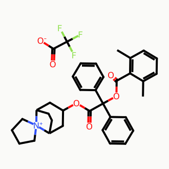 Cc1cccc(C)c1C(=O)OC(C(=O)OC1CC2CCC(C1)[N+]21CCCC1)(c1ccccc1)c1ccccc1.O=C([O-])C(F)(F)F